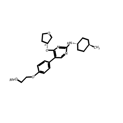 COCCOc1ccc(-c2cnc(N[C@H]3CC[C@H](C)CC3)nc2O[C@@H]2CCOC2)cc1